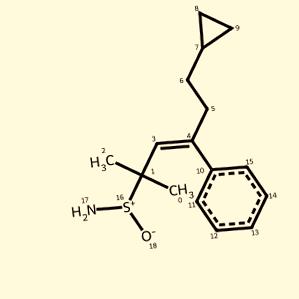 CC(C)(/C=C(/CCC1CC1)c1ccccc1)[S+](N)[O-]